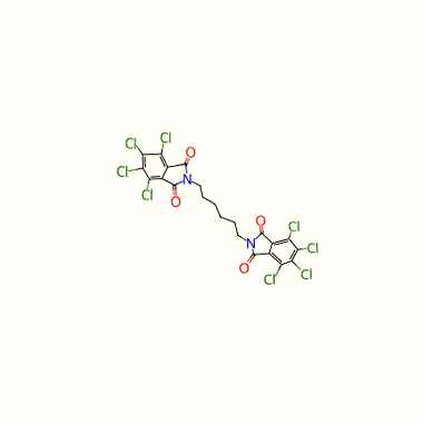 O=C1c2c(Cl)c(Cl)c(Cl)c(Cl)c2C(=O)N1CCCCCCN1C(=O)c2c(Cl)c(Cl)c(Cl)c(Cl)c2C1=O